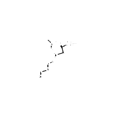 CCCCOC(CC([NH])=O)OCC